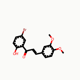 COc1ccc(C=CC(=O)c2cc(Br)ccc2O)cc1OC